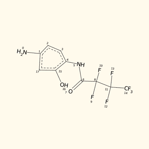 Nc1ccc(NC(=O)C(F)(F)C(F)(F)C(F)(F)F)c(O)c1